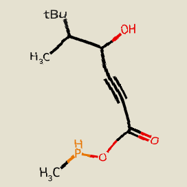 CPOC(=O)C#CC(O)C(C)C(C)(C)C